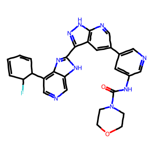 O=C(Nc1cncc(-c2cnc3[nH]nc(-c4nc5c(C6C=CC=CC6F)cncc5[nH]4)c3c2)c1)N1CCOCC1